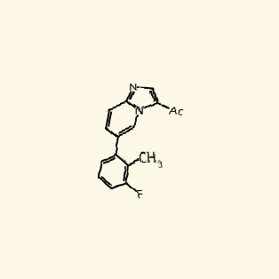 CC(=O)c1cnc2ccc(-c3cccc(F)c3C)cn12